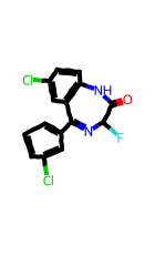 O=C1Nc2ccc(Cl)cc2C(c2cccc(Cl)c2)=NC1F